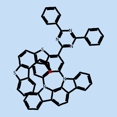 c1ccc(-c2nc(-c3ccccc3)nc(-c3cc(-n4c5ccccc5c5ccc6c7ccccc7n(-c7ccccc7)c6c54)cc4c3sc3ccc5sc6ccccc6c5c34)n2)cc1